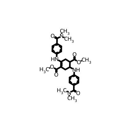 COC(=O)C1=C(Nc2ccc(C(=O)N(C)C)cc2)CC(C(=O)OC)C(Nc2ccc(C(=O)N(C)C)cc2)C1